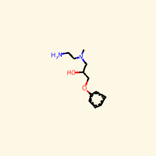 CN(CCN)CC(O)COc1ccccc1